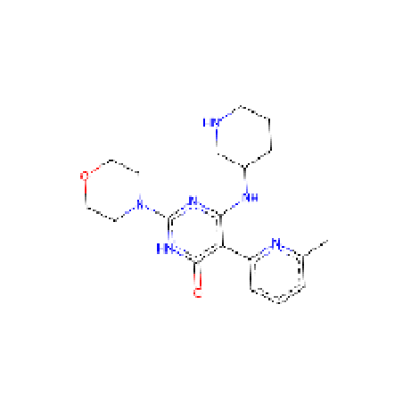 Cc1cccc(-c2c(NC3CCCNC3)nc(N3CCOCC3)[nH]c2=O)n1